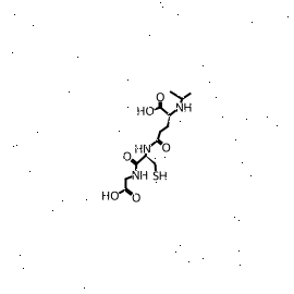 CC(C)N[C@@H](CCC(=O)N[C@@H](CS)C(=O)NCC(=O)O)C(=O)O